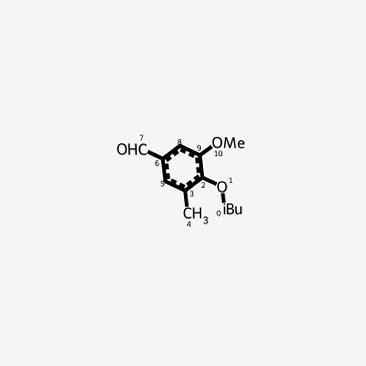 CCC(C)Oc1c(C)cc(C=O)cc1OC